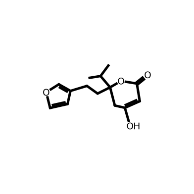 CC(C)C1(CCc2ccoc2)CC(O)=CC(=O)O1